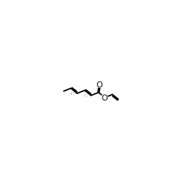 C=COC(=O)/C=C/C=C/C